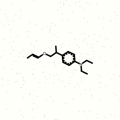 CC=COCC(C)c1ccc(N(CC)CC)cc1